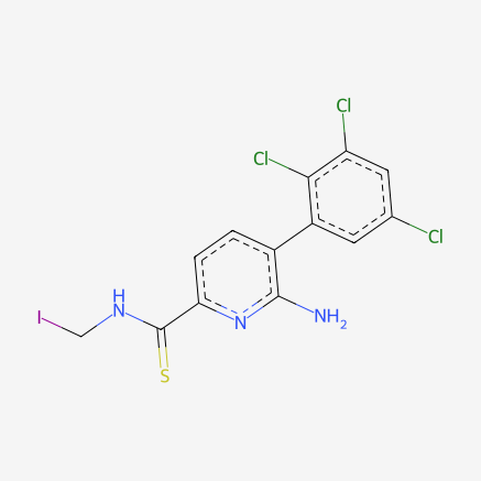 Nc1nc(C(=S)NCI)ccc1-c1cc(Cl)cc(Cl)c1Cl